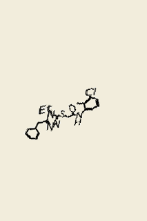 CCn1c(Cc2ccccc2)nnc1SCC(=O)Nc1cccc(Cl)c1C